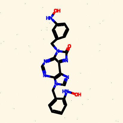 O=c1nc2c3ncn(Cc4ccccc4NO)c3ncnc-2n1Cc1cccc(NO)c1